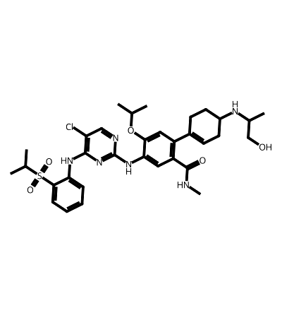 CNC(=O)c1cc(Nc2ncc(Cl)c(Nc3ccccc3S(=O)(=O)C(C)C)n2)c(OC(C)C)cc1C1=CCC(NC(C)CO)CC1